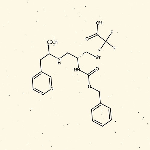 CC(C)C[C@@H](CN[C@@H](Cc1cccnc1)C(=O)O)NC(=O)OCc1ccccc1.O=C(O)C(F)(F)F